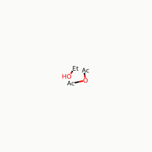 CC(=O)OC(C)=O.CCO